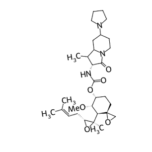 CO[C@@H]1[C@H](OC(=O)N[C@H]2C(=O)N3CCC(N4CCCC4)CC3C2C)CC[C@]2(CO2)[C@H]1[C@@]1(C)O[C@@H]1CC=C(C)C